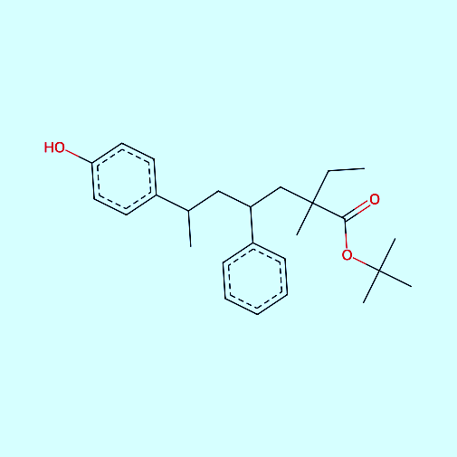 CCC(C)(CC(CC(C)c1ccc(O)cc1)c1ccccc1)C(=O)OC(C)(C)C